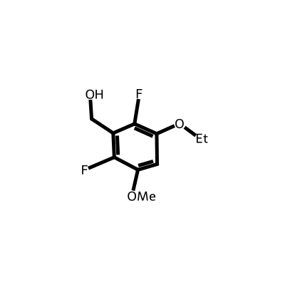 CCOc1cc(OC)c(F)c(CO)c1F